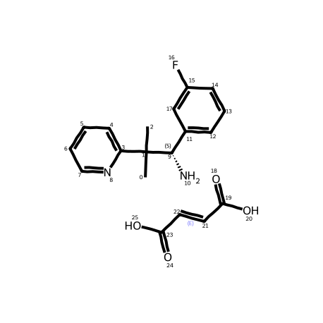 CC(C)(c1ccccn1)[C@@H](N)c1cccc(F)c1.O=C(O)/C=C/C(=O)O